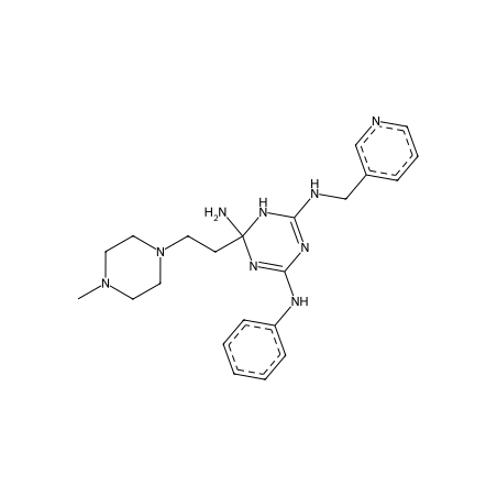 CN1CCN(CCC2(N)N=C(Nc3ccccc3)N=C(NCc3cccnc3)N2)CC1